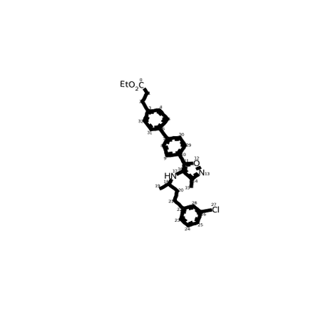 CCOC(=O)CCc1ccc(-c2ccc(-c3onc(C)c3NC(C)CCc3cccc(Cl)c3)cc2)cc1